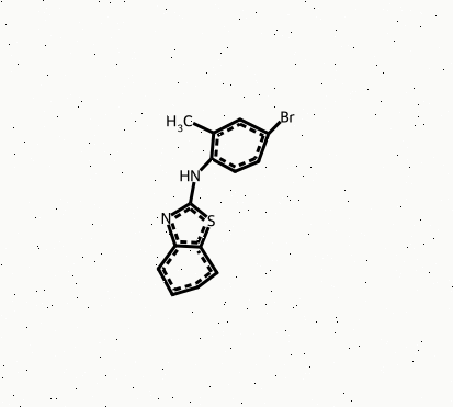 Cc1cc(Br)ccc1Nc1nc2ccccc2s1